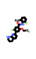 Cc1cccc(F)c1NC(=O)c1cc(F)c(-c2ccc3c(n2)NCCC3)cc1OCC(F)(F)F